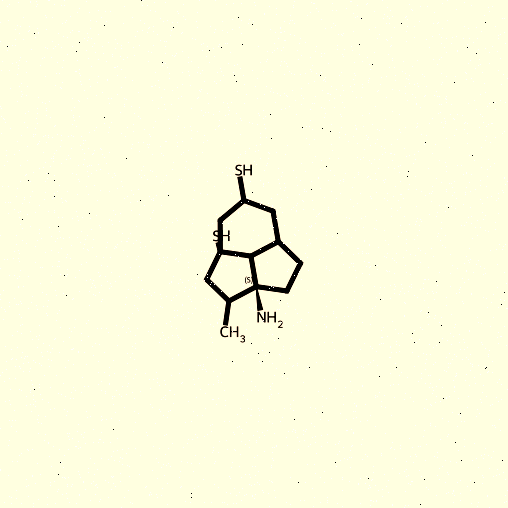 CC1CC2(S)CC(S)CC3CC[C@@]1(N)C32